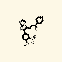 COc1ccc(-c2nc3sccn3c2C=CC(=O)c2ccncc2)cc1[N+](=O)[O-]